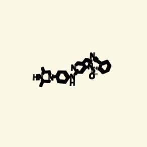 CC1CN(c2ccc(Nc3cc4c(ccn4[S+]([O-])c4ccccc4C#N)cn3)cc2)CC(C)N1